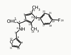 Cc1cc(C(C=O)NCc2ccco2)c(C)n1-c1ccc(F)cc1